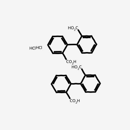 Cl.Cl.O=C(O)c1ccccc1-c1ccccc1C(=O)O.O=C(O)c1ccccc1-c1ccccc1C(=O)O